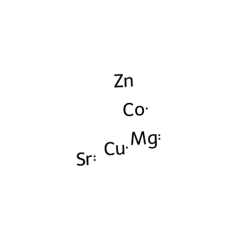 [Co].[Cu].[Mg].[Sr].[Zn]